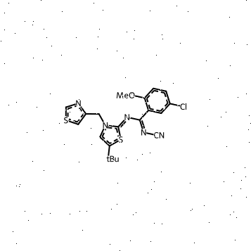 COc1ccc(Cl)cc1C(/N=c1\sc(C(C)(C)C)cn1Cc1cscn1)=N\C#N